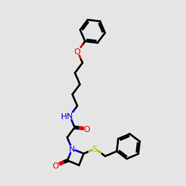 O=C(CN1C(=O)CC1SCc1ccccc1)NCCCCCOc1ccccc1